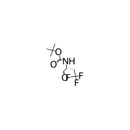 CC(C)(C)OC(=O)N[C@@H](C=O)CC(F)(F)F